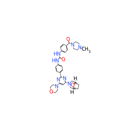 CN1CCN(C(=O)c2ccc(NC(=O)Nc3ccc(-c4nc(N5CCOCC5)cc(N5C[C@H]6CC[C@@H](C5)O6)n4)cc3)cc2)CC1